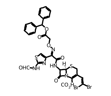 O=CNc1nc(/C(=N\OCC(=O)OC(c2ccccc2)c2ccccc2)C(=O)NC2C(=O)N3C(C(=O)O)=C(C=C(Br)Br)CS[C@H]23)cs1